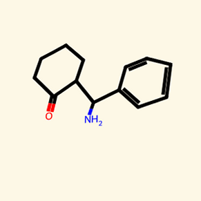 NC(c1ccccc1)C1CCCCC1=O